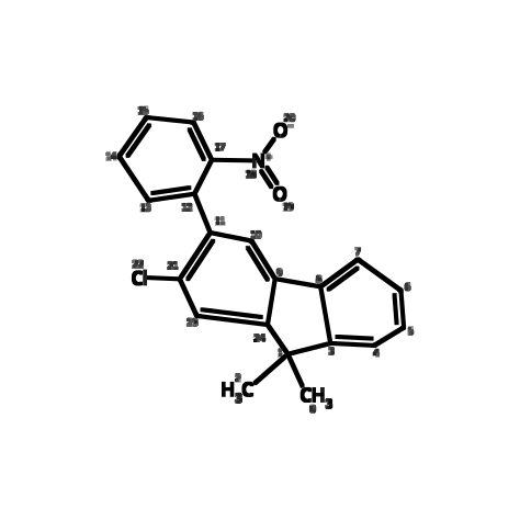 CC1(C)c2ccccc2-c2cc(-c3ccccc3[N+](=O)[O-])c(Cl)cc21